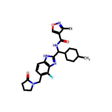 CCc1nocc1C(=O)NC(c1nc2c(F)c(CN3CCCC3=O)ccc2[nH]1)C1CCC(C)CC1